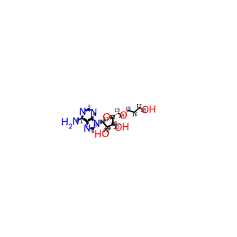 Nc1ncnc2c1ncn2[C@@H]1O[C@H](COCCCO)[C@@H](O)[C@H]1O